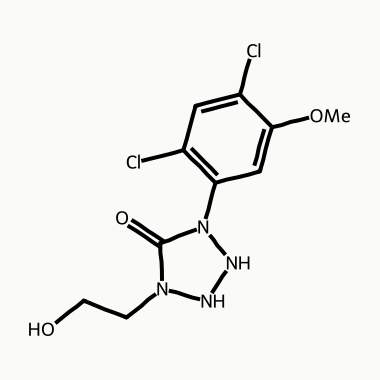 COc1cc(N2NNN(CCO)C2=O)c(Cl)cc1Cl